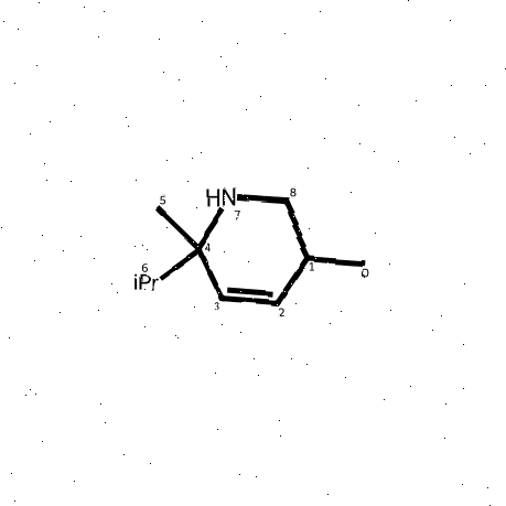 CC1C=CC(C)(C(C)C)NC1